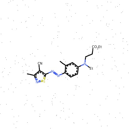 CCOC(=O)CCN(CC)c1ccc(N=Nc2snc(C)c2C#N)c(C)c1